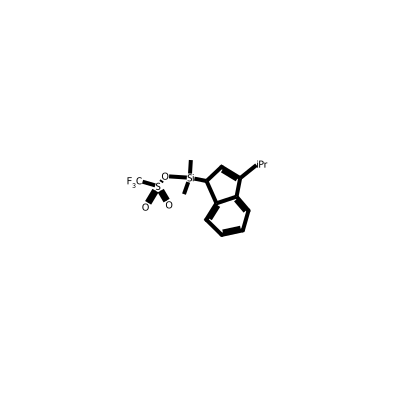 CC(C)C1=CC([Si](C)(C)OS(=O)(=O)C(F)(F)F)c2ccccc21